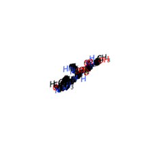 COc1ccc(CN2CCN(C3CC4(C3)CN(c3ccc(C(=O)NS(=O)(=O)c5ccc(NC[C@H]6CC[C@](C)(O)CC6)c([N+](=O)[O-])c5)c(Oc5cnc6[nH]ccc6c5)c3)C4)[C@H](c3ccccc3C(C)C)C2)cn1